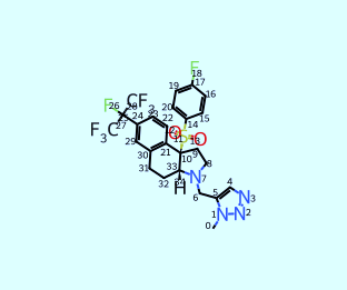 Cn1nncc1CN1CC[C@@]2(S(=O)(=O)c3ccc(F)cc3)c3ccc(C(F)(C(F)(F)F)C(F)(F)F)cc3CC[C@@H]12